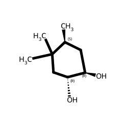 C[C@H]1C[C@@H](O)[C@H](O)CC1(C)C